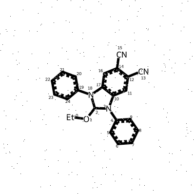 CCOC1N(c2ccccc2)c2cc(C#N)c(C#N)cc2N1c1ccccc1